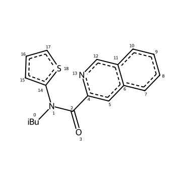 CCC(C)N(C(=O)c1cc2ccccc2cn1)c1cccs1